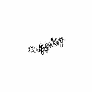 CC(C)Oc1c(C(=O)NCCCN2CCCCC2)ccc2c1sc1nc(-c3ccc([C@H]4CCCN4)cc3F)cn12